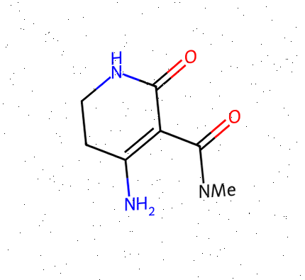 CNC(=O)C1=C(N)CCNC1=O